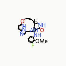 COc1c(F)cccc1Nc1c2[nH]c3c1C(=O)NC[C@@H]3C/C=C\COc1ccc3ncc-2n3n1